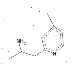 Cc1ccnc(CC(C)N)c1